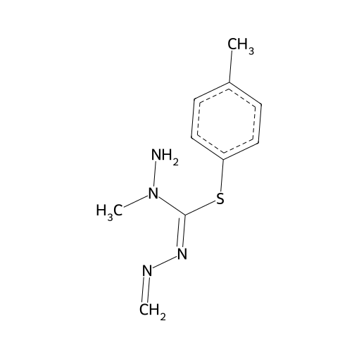 C=N/N=C(/Sc1ccc(C)cc1)N(C)N